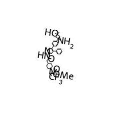 COC(=O)N(CC(F)(F)F)C1CCC(CC(=O)Nc2cc(-c3ccccc3)c(-c3ccc([C@]4(N)C[C@](C)(O)C4)cc3)cn2)CC1